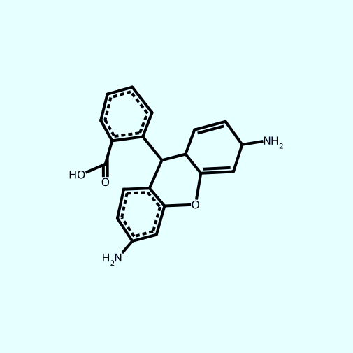 Nc1ccc2c(c1)OC1=CC(N)C=CC1C2c1ccccc1C(=O)O